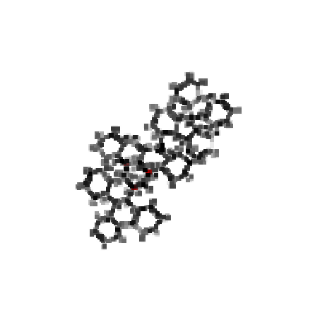 c1ccc(-c2c(-c3ccccc3)c3cc(-c4ccccc4N(c4cccc5c4-c4ccccc4C5(c4ccccc4)c4ccccc4)c4cc5ccccc5c5ccccc45)ccc3c3ccccc23)cc1